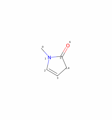 CN1C=C[C]C1=O